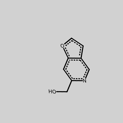 OCc1cc2occc2cn1